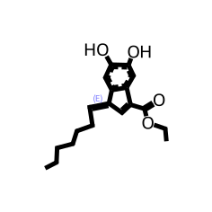 CCCCCC/C=C1\C=C(C(=O)OCC)c2cc(O)c(O)cc21